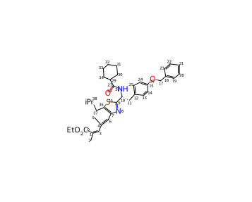 CCOC(=O)/C(C)=C\C(C)=C\c1nc([C@@H](Cc2ccc(OCc3ccccc3)cc2)NC(=O)C2CCCCC2)sc1CC(C)C